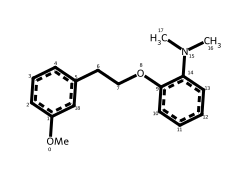 COc1cccc(CCOc2ccccc2N(C)C)c1